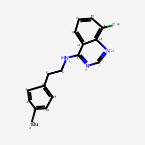 CC(C)(C)c1ccc(CCNc2ncnc3c(F)cccc23)cc1